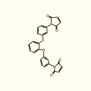 O=C1C=CC(=O)N1c1cccc(Oc2ccccc2Oc2cccc(N3C(=O)C=CC3=O)c2)c1